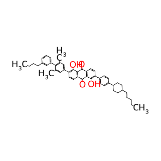 CCCCCC1CCC(c2ccc(-c3ccc4c(c3O)C(=O)c3ccc(-c5cc(C)c(-c6cccc(CCCC)c6)c(C)c5)c(O)c3C4=O)cc2)CC1